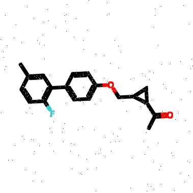 CC(=O)C1CC1COc1ccc(-c2cc(C)ccc2F)cc1